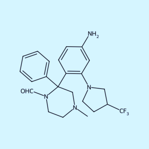 CN1CCN(C=O)C(c2ccccc2)(c2ccc(N)cc2N2CCC(C(F)(F)F)C2)C1